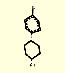 CCc1ccc([C@H]2CC[C@@H]([NH])CC2)cc1